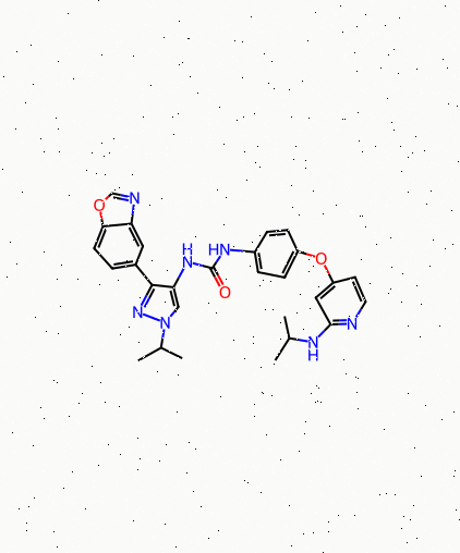 CC(C)Nc1cc(Oc2ccc(NC(=O)Nc3cn(C(C)C)nc3-c3ccc4ocnc4c3)cc2)ccn1